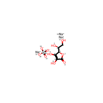 O=C1O[C@H]([C@@H](O)CO)C(O)=C1O.[Na+].[Na+].[Na+].[O]=[V]([O-])([O-])[O-]